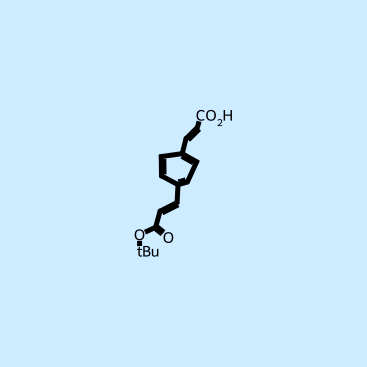 CC(C)(C)OC(=O)/C=C/c1ccc(/C=C/C(=O)O)cc1